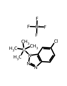 F[B-](F)(F)F.[CH3][U]([CH3])([CH3])([CH3])[n]1nnc2ccc(Cl)cc21